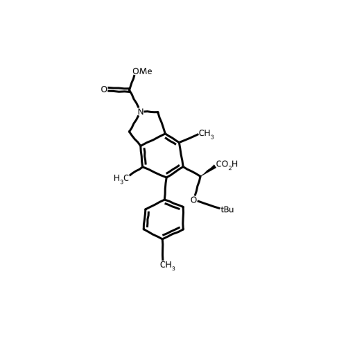 COC(=O)N1Cc2c(C)c(-c3ccc(C)cc3)c([C@H](OC(C)(C)C)C(=O)O)c(C)c2C1